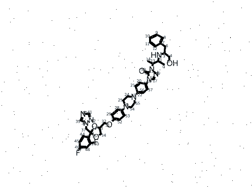 CC(NC(CO)Cc1ccccc1)C(C)n1ncn(-c2ccc(N3CCN(c4ccc(OCC5COC(Cn6cncn6)(c6ccc(F)cc6F)O5)cc4)CC3)cc2)c1=O